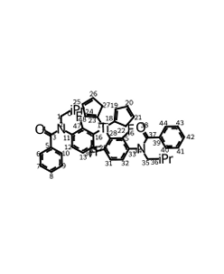 CC(C)CN(C(=O)c1ccccc1)c1ccc(F)[c]([Ti]([C]2=CC=CC2)([C]2=CC=CC2)[c]2c(F)ccc(N(CC(C)C)C(=O)c3ccccc3)c2F)c1F